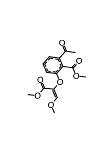 COC=C(Oc1cccc(C(C)=O)c1C(=O)OC)C(=O)OC